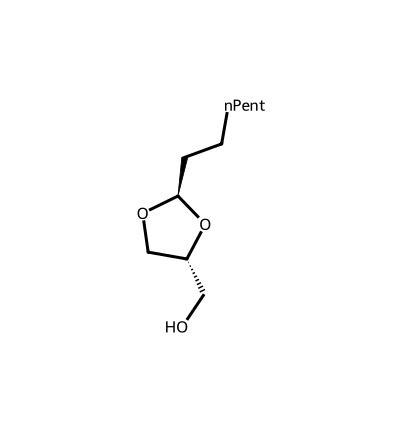 CCCCCCC[C@@H]1OC[C@@H](CO)O1